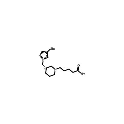 CCC(C)c1cnn(C[C@H]2CCCN(CCCCC(=O)C(C)C)C2)c1